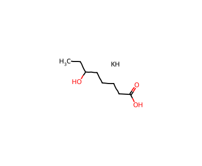 CCC(O)CCCCC(=O)O.[KH]